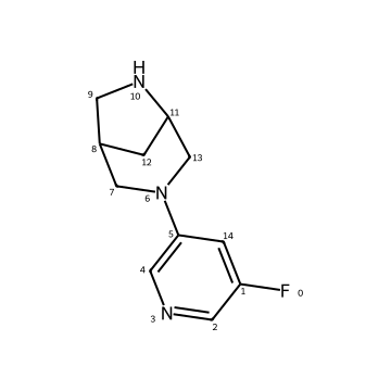 Fc1cncc(N2CC3CNC(C3)C2)c1